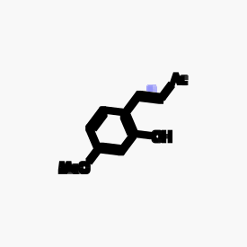 COc1ccc(/C=C/C(C)=O)c(O)c1